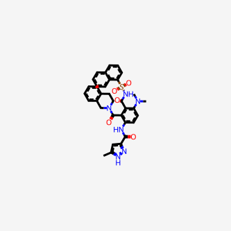 Cc1cc(C(=O)Nc2ccc(N(C)C)c(C(=O)NS(=O)(=O)c3cccc4ccccc34)c2C(=O)N2CCc3ccccc3C2)n[nH]1